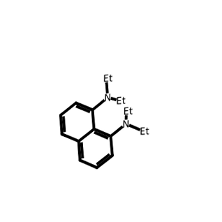 CCN(CC)c1cccc2cccc(N(CC)CC)c12